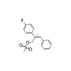 CS(=O)(=O)OC/C(=C\c1ccccc1)c1ccc(F)cc1